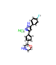 Cl.Fc1ccc(-c2cc(-c3ccc([C@@H]4CNCCO4)cc3)n[nH]2)cc1